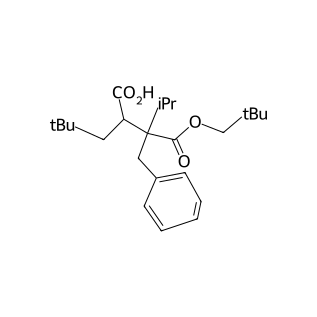 CC(C)C(Cc1ccccc1)(C(=O)OCC(C)(C)C)C(CC(C)(C)C)C(=O)O